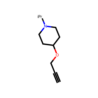 C#CCOC1CCN(C(C)C)CC1